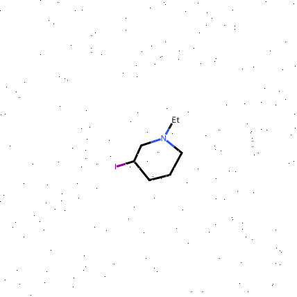 CCN1CCCC(I)C1